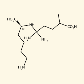 CC(CCC(N)(N)N[C@@H](CCCCN)C(=O)O)C(=O)O